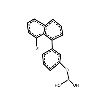 OB(O)Oc1cccc(-c2cccc3cccc(Br)c23)c1